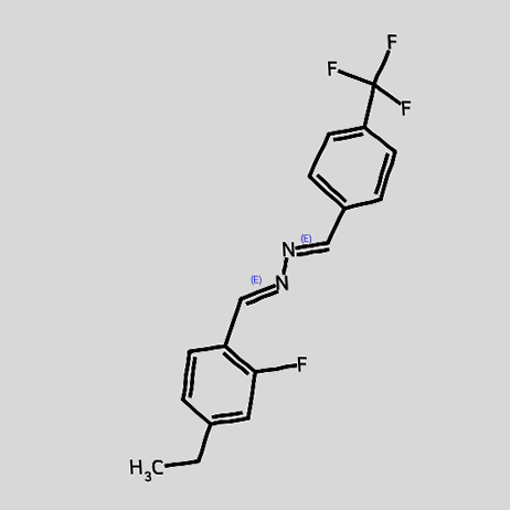 CCc1ccc(/C=N/N=C/c2ccc(C(F)(F)F)cc2)c(F)c1